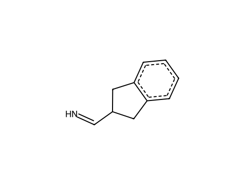 N=CC1Cc2ccccc2C1